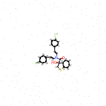 O=C(N(C=Cc1ccc(F)cc1)C=Cc1ccc(F)cc1)C1(O)CSc2ccccc21